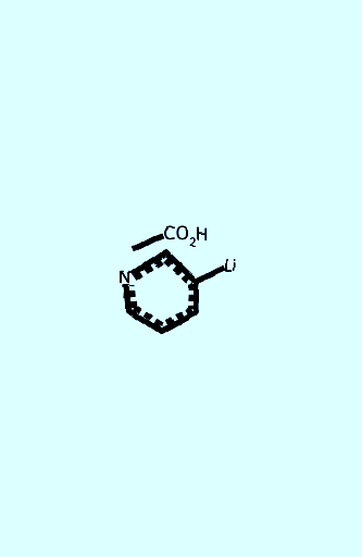 CC(=O)O.[Li][c]1cccnc1